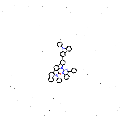 O=c1c2c(ccc3c4cc(-c5ccc6c(c5)c5ccccc5n6-c5ccccc5)ccc4n(-c4nc(-c5ccccc5)c5ccccc5n4)c32)c2ccc3ccccc3c2n1-c1ccccc1